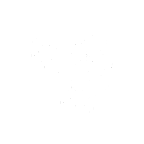 O=C(O[C@@H]1Cc2c(O)cc(O)cc2O[C@@H]1c1cc(O)c(O)c(O)c1-c1c([C@H]2Oc3cc(O)cc(O)c3C[C@H]2O)cc(O)c(O)c1O)c1cc(O)c(O)c(O)c1